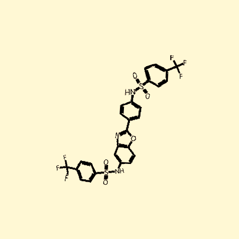 O=S(=O)(Nc1ccc(-c2nc3cc(NS(=O)(=O)c4ccc(C(F)(F)F)cc4)ccc3o2)cc1)c1ccc(C(F)(F)F)cc1